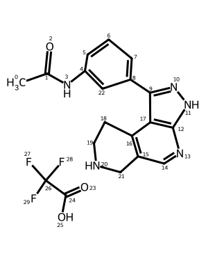 CC(=O)Nc1cccc(-c2n[nH]c3ncc4c(c23)CCNC4)c1.O=C(O)C(F)(F)F